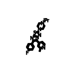 Cc1cc(-c2c(-c3ccc(F)cc3)nc3sc(N4CCN(C(C)C)CC4)nn23)ccn1